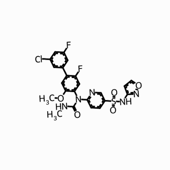 CNC(=O)N(c1ccc(S(=O)(=O)Nc2ccon2)cn1)c1cc(F)c(-c2cc(F)cc(Cl)c2)cc1OC